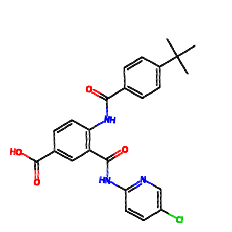 CC(C)(C)c1ccc(C(=O)Nc2ccc(C(=O)O)cc2C(=O)Nc2ccc(Cl)cn2)cc1